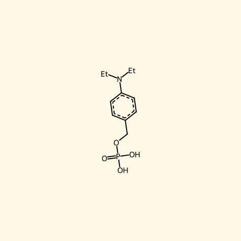 CCN(CC)c1ccc(COP(=O)(O)O)cc1